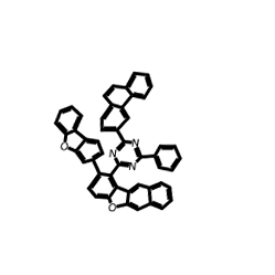 c1ccc(-c2nc(-c3ccc4ccc5ccccc5c4c3)nc(-c3c(-c4ccc5c(c4)oc4ccccc45)ccc4oc5cc6ccccc6cc5c34)n2)cc1